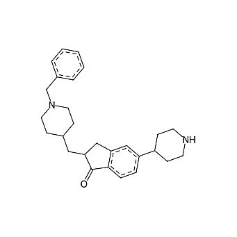 O=C1c2ccc(C3CCNCC3)cc2CC1CC1CCN(Cc2ccccc2)CC1